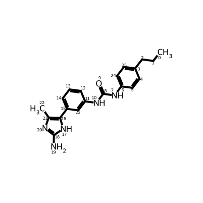 CCCc1ccc(NC(=O)Nc2cccc(-c3[nH]c(N)nc3C)c2)cc1